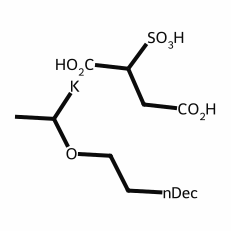 CCCCCCCCCCCCO[CH](C)[K].O=C(O)CC(C(=O)O)S(=O)(=O)O